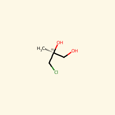 C[C@](O)(CO)CCl